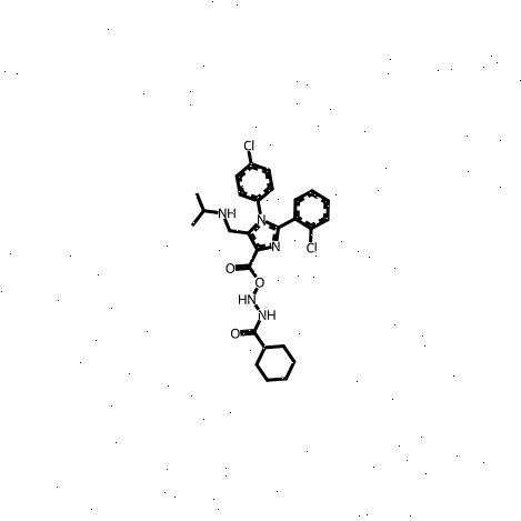 CC(C)NCc1c(C(=O)ONNC(=O)C2CCCCC2)nc(-c2ccccc2Cl)n1-c1ccc(Cl)cc1